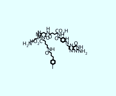 NCCCCn1cc(CC(NC(=O)CCC(NC(=O)c2ccc(NCc3cnc4nc(N)[nH]c(=O)c4n3)cc2)C(=O)O)C(=O)NC(CCCCNC(=O)CCCc2ccc(I)cc2)C(=O)O)nn1